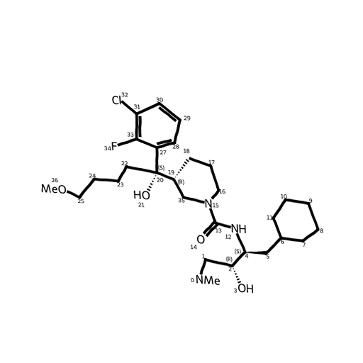 CNC[C@@H](O)[C@H](CC1CCCCC1)NC(=O)N1CCC[C@@H]([C@@](O)(CCCCOC)c2cccc(Cl)c2F)C1